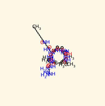 CCCCCCCCCCCCCCCC(=O)NCCCCCC(=O)NCCCC[C@@H]1NC(=O)[C@@H]2CCCN2C(=O)[C@H](C(c2ccccc2)c2ccccc2)NC(=O)C(Cc2cnc[nH]2)CC(=O)[C@H]([C@@H](C)O)NC(=O)[C@@H](NC(=O)CC(C)C)CCC/C=C/CCC[C@@H](C(=O)N[C@H](CC(=O)N[C@H](CCCNC(=N)N)C(N)=O)Cc2ccccc2)NC(=O)C([C@@H](C)CC)NC1=O